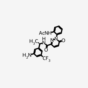 CC(=O)Nc1ccccc1-n1nc(C(=O)N[C@H](C)c2cc(N)cc(C(F)(F)F)c2)ccc1=O